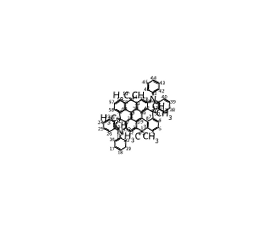 CC1(C)c2cccc3c2-c2c4c1cc(N(C1=CC=CCC1)c1ccccc1)c1c4c4c5c(cc(N(C6=CCCC=C6)c6ccccc6)c(c25)C3(C)C)C(C)(C)c2cccc(c2-4)C1(C)C